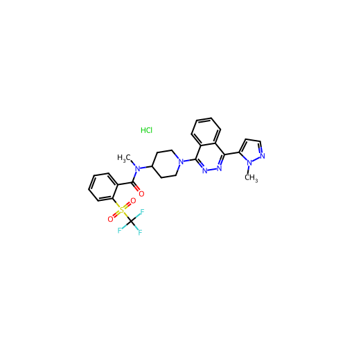 CN(C(=O)c1ccccc1S(=O)(=O)C(F)(F)F)C1CCN(c2nnc(-c3ccnn3C)c3ccccc23)CC1.Cl